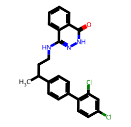 CC(CCNc1n[nH]c(=O)c2ccccc12)c1ccc(-c2ccc(Cl)cc2Cl)cc1